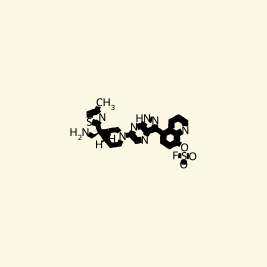 Cc1csc([C@@]2(CN)[C@@H]3CCN(c4cnc5c(-c6ccc(OS(=O)(=O)F)c7ncccc67)n[nH]c5n4)C[C@@H]32)n1